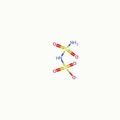 NS(=O)(=O)NS([O])(=O)=O